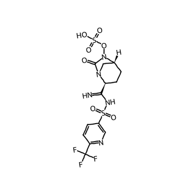 N=C(NS(=O)(=O)c1ccc(C(F)(F)F)nc1)[C@@H]1CC[C@@H]2CN1C(=O)N2OS(=O)(=O)O